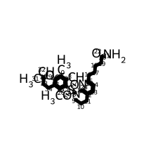 Cc1c(C)c(S(=O)(=O)N2CCCc3ccc(CCCCC(N)=O)nc32)c(C)c2c1OC(C)(C)CC2